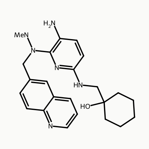 CNN(Cc1ccc2ncccc2c1)c1nc(NCC2(O)CCCCC2)ccc1N